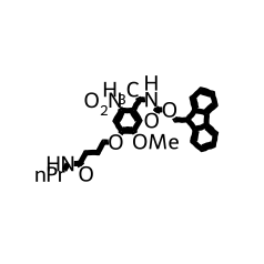 CCCNC(=O)CCCOc1cc([N+](=O)[O-])c(C(C)NC(=O)OCC2c3ccccc3-c3ccccc32)cc1OC